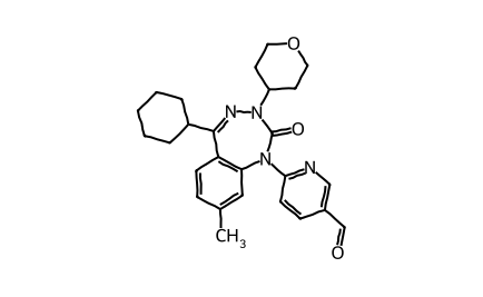 Cc1ccc2c(c1)N(c1ccc(C=O)cn1)C(=O)N(C1CCOCC1)N=C2C1CCCCC1